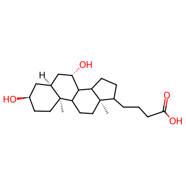 C[C@]12CCC3C(C1CCC2CCCC(=O)O)[C@@H](O)C[C@@H]1C[C@H](O)CC[C@]31C